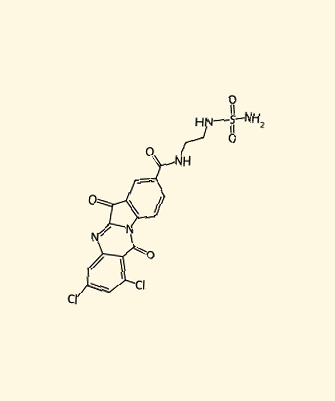 NS(=O)(=O)NCCNC(=O)c1ccc2c(c1)C(=O)c1nc3cc(Cl)cc(Cl)c3c(=O)n1-2